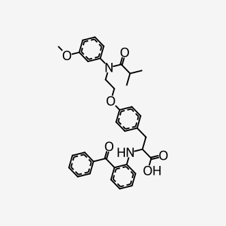 COc1cccc(N(CCOc2ccc(CC(Nc3ccccc3C(=O)c3ccccc3)C(=O)O)cc2)C(=O)C(C)C)c1